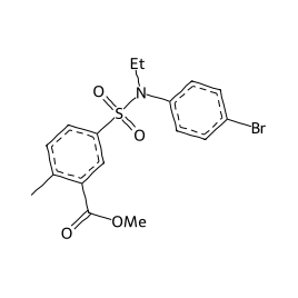 CCN(c1ccc(Br)cc1)S(=O)(=O)c1ccc(C)c(C(=O)OC)c1